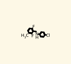 Cc1ccc(F)c(CNc2ccc(Cl)cc2)c1F